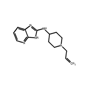 C=CCN1CCC(Nc2nc3cccnc3[nH]2)CC1